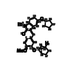 CCN1C(=O)/C(=C\c2ccc(OC)c(O[C@@H]3C[C@@H]4CCC3C4)c2)c2cc(OC3CCCC3)ccc21